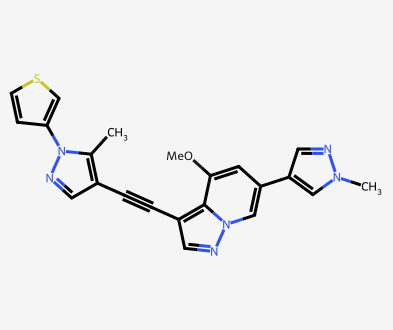 COc1cc(-c2cnn(C)c2)cn2ncc(C#Cc3cnn(-c4ccsc4)c3C)c12